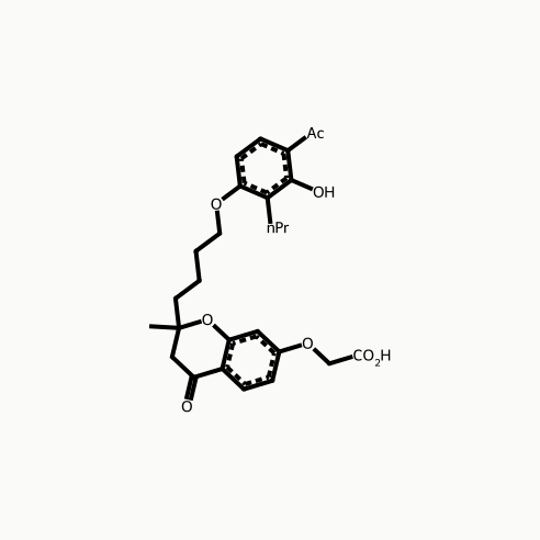 CCCc1c(OCCCCC2(C)CC(=O)c3ccc(OCC(=O)O)cc3O2)ccc(C(C)=O)c1O